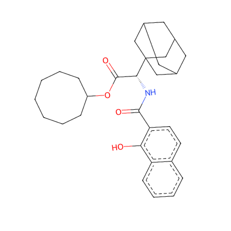 O=C(N[C@H](C(=O)OC1CCCCCCC1)C12CC3CC(CC(C3)C1)C2)c1ccc2ccccc2c1O